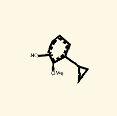 COc1c(C#N)cccc1C1CC1